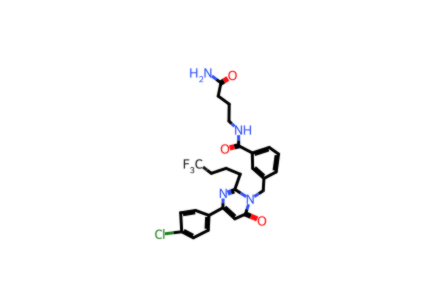 NC(=O)CCCNC(=O)c1cccc(Cn2c(CCCC(F)(F)F)nc(-c3ccc(Cl)cc3)cc2=O)c1